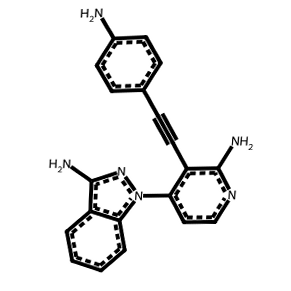 Nc1ccc(C#Cc2c(-n3nc(N)c4ccccc43)ccnc2N)cc1